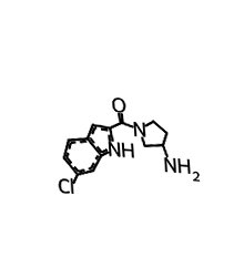 NC1CCN(C(=O)c2cc3ccc(Cl)cc3[nH]2)C1